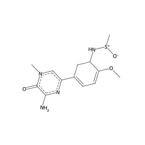 COC1=CC=C(c2cn(C)c(=O)c(N)n2)CC1N[S+](C)[O-]